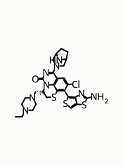 CCN1CCN(C[C@H]2CSc3c(-c4scc5sc(N)nc45)c(Cl)cc4c(N5CC6CCC(C5)N6)nc(=O)n2c34)CC1